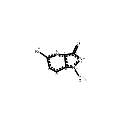 Cn1[nH]c(=O)c2nc(Br)ccc21